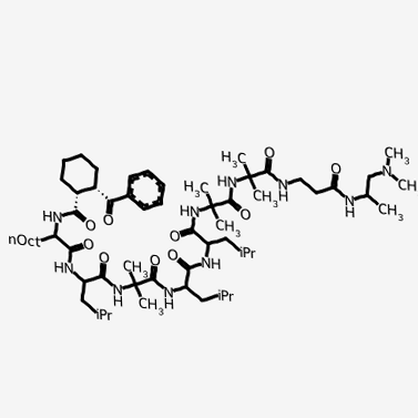 CCCCCCCCC(NC(=O)[C@@H]1CCCC[C@@H]1C(=O)c1ccccc1)C(=O)NC(CC(C)C)C(=O)NC(C)(C)C(=O)NC(CC(C)C)C(=O)NC(CC(C)C)C(=O)NC(C)(C)C(=O)NC(C)(C)C(=O)NCCC(=O)NC(C)CN(C)C